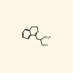 CCCCCCCCC(CC1=NCCc2ccccc21)S(=O)(=O)O